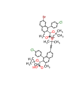 Cc1cc2ccc(C#CC(C)(C)OC(=O)C(OC(C)(C)C)c3c(C)cc4ccc(Br)cc4c3-c3ccc(Cl)cc3)cc2c(-c2ccc(Cl)cc2)c1C(OC(C)(C)C)C(=O)O